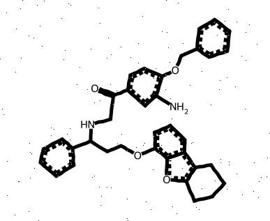 Nc1cc(C(=O)CNC(CCOc2cccc3c4c(oc23)CCCC4)c2ccccc2)ccc1OCc1ccccc1